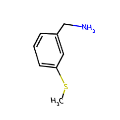 CSc1cccc(CN)c1